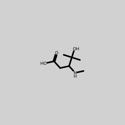 CNC(CC(=O)O)C(C)(C)O